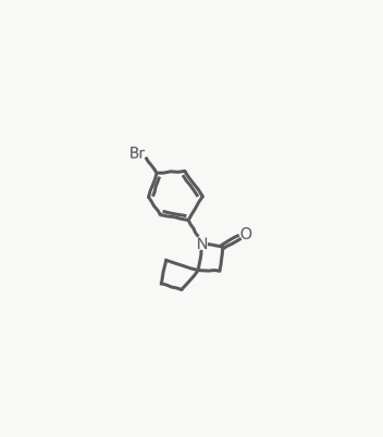 O=C1CC2(CCC2)N1c1ccc(Br)cc1